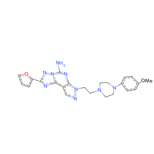 COc1ccc(N2CCN(CCn3ncc4c3nc(N)n3nc(-c5ccco5)nc43)CC2)cc1